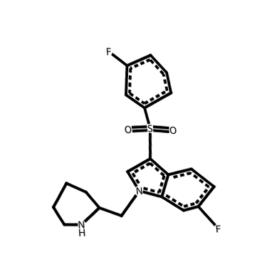 O=S(=O)(c1cccc(F)c1)c1cn(CC2CCCCN2)c2cc(F)ccc12